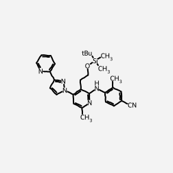 Cc1cc(-n2ccc(-c3ccccn3)n2)c(CCO[Si](C)(C)C(C)(C)C)c(Nc2ccc(C#N)cc2C)n1